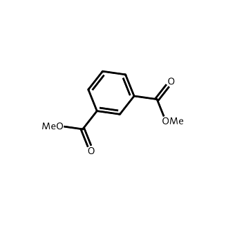 COC(=O)c1cccc(C(=O)OC)c1